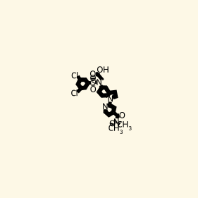 CON(C)C(=O)c1ccnc(-n2ccc3cc(N(CC(=O)O)S(=O)(=O)c4cc(Cl)cc(Cl)c4)ccc32)c1